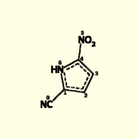 N#Cc1ccc([N+](=O)[O-])[nH]1